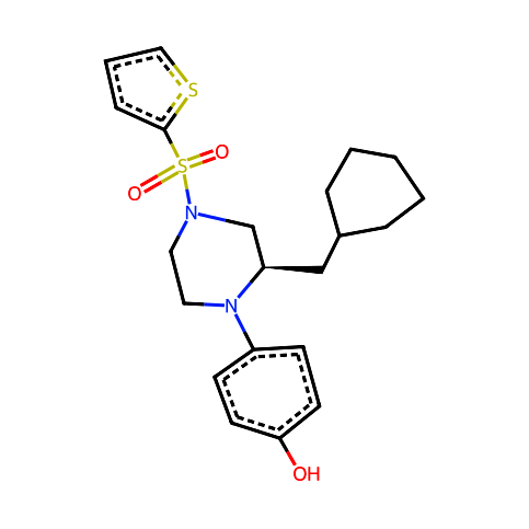 O=S(=O)(c1cccs1)N1CCN(c2ccc(O)cc2)[C@H](CC2CCCCC2)C1